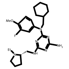 CCN1CCC[C@H]1CNc1nc(N)nc(N(CC2CCCCC2)c2ccc(OC)c(F)c2)n1